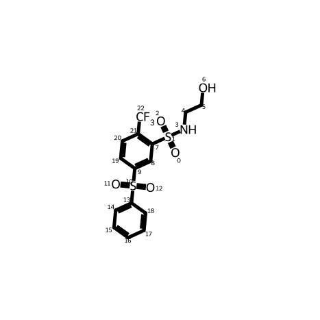 O=S(=O)(NCCO)c1cc(S(=O)(=O)c2ccccc2)ccc1C(F)(F)F